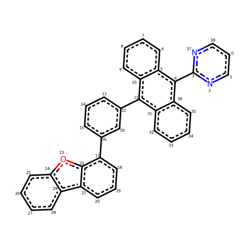 c1cnc(-c2c3ccccc3c(-c3cccc(-c4cccc5c4oc4ccccc45)c3)c3ccccc23)nc1